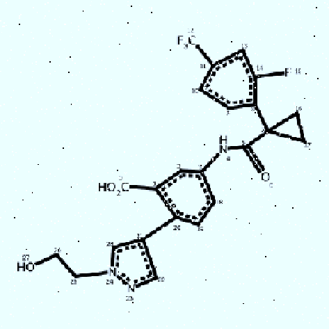 O=C(O)c1cc(NC(=O)C2(c3ccc(C(F)(F)F)cc3F)CC2)ccc1-c1cnn(CCO)c1